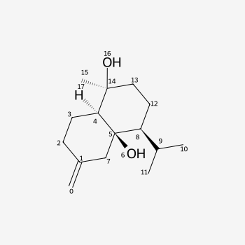 C=C1CC[C@@H]2[C@@](O)(C1)[C@H](C(C)C)CC[C@]2(C)O